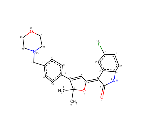 CC1(C)OC(=C2C(=O)Nc3ccc(F)cc32)C=C1c1ccc(CN2CCOCC2)cc1